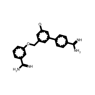 N=C(N)c1ccc(-c2cc([O])cc(COc3cccc(C(=N)N)c3)c2)cc1